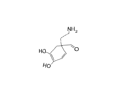 NCCC1(C=O)C=CC(O)=C(O)C1